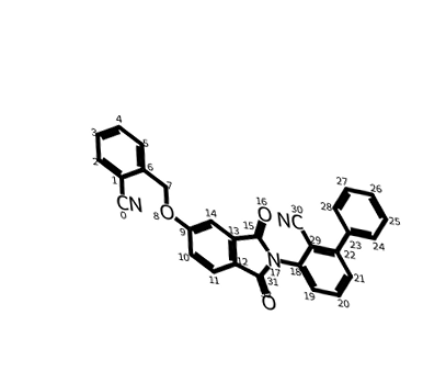 N#Cc1ccccc1COc1ccc2c(c1)C(=O)N(c1cccc(-c3ccccc3)c1C#N)C2=O